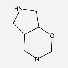 C1[N]CC2CNCC2O1